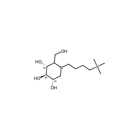 C[Si](C)(C)CCCCN1C[C@H](O)[C@@H](O)[C@H](O)C1CO